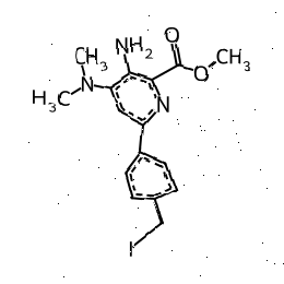 COC(=O)c1nc(-c2ccc(CI)cc2)cc(N(C)C)c1N